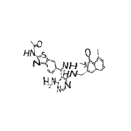 CC(=O)Nc1nc2ccc(C(=N)c3c(N)ncnc3NCc3cc4cccc(C)c4c(=O)n3C)cc2s1